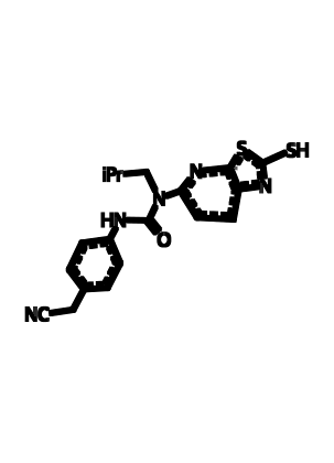 CC(C)CN(C(=O)Nc1ccc(CC#N)cc1)c1ccc2nc(S)sc2n1